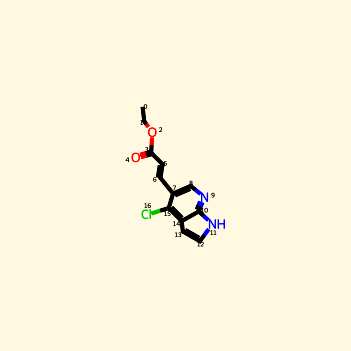 CCOC(=O)/C=C/c1cnc2[nH]ccc2c1Cl